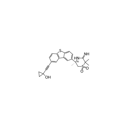 CC1(C)C(=N)N[C@](C)(c2ccc3sc4ccc(C#CC5(O)CC5)cc4c3c2)CS1(=O)=O